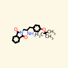 CC(C)(C)Oc1ccc(C[C@H](N)CN2C(=O)c3ccccc3C2=O)cc1